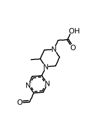 CC1CN(CC(=O)O)CCN1c1cnc(C=O)cn1